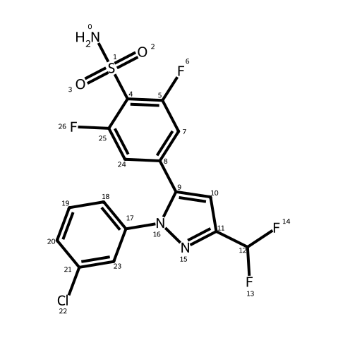 NS(=O)(=O)c1c(F)cc(-c2cc(C(F)F)nn2-c2cccc(Cl)c2)cc1F